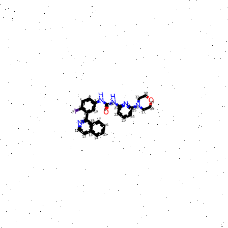 O=C(Nc1ccc(I)c(-c2nccc3ccccc23)c1)Nc1cccc(N2CCOCC2)n1